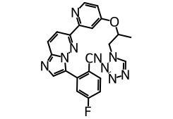 CC(Cn1cnnn1)Oc1ccnc(-c2ccc3ncc(-c4cc(F)ccc4C#N)n3n2)c1